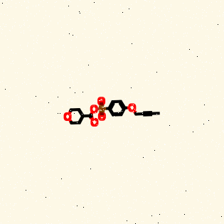 CC#CCOc1ccc(S(=O)(=O)OC(=O)C2CCOCC2)cc1